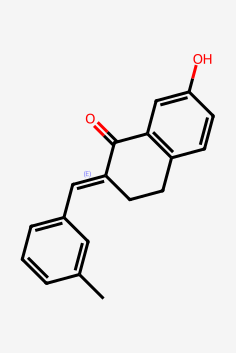 Cc1cccc(/C=C2\CCc3ccc(O)cc3C2=O)c1